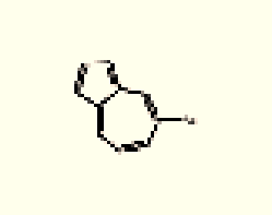 CC(=O)c1cccc2cccc-2c1